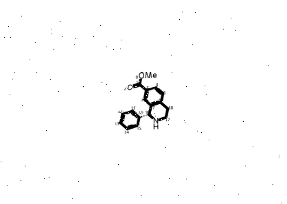 COC(=O)c1ccc2c(c1)[C@@H](c1ccccc1)NCC2